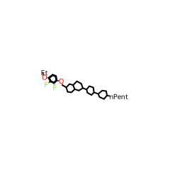 CCCCCC1CCC(C2CCC(C3CCC4CC(COc5ccc(OCC)c(F)c5F)CCC4C3)CC2)CC1